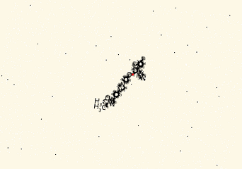 CC[C@H](C)n1ncn(-c2ccc(N3CCN(c4ccc(OC[C@@H]5CO[C@@](Cn6cncn6)(c6ccc(F)cc6F)C5)cc4)CC3)cc2)c1=O